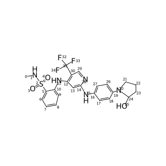 CNS(=O)(=O)c1ccccc1Nc1cc(Nc2ccc(N3CCCC3O)cc2)ncc1C(F)(F)F